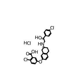 Cl.O=C(O)c1cc(Oc2ccc3c(c2)C[C@@H](NC[C@H](O)c2ccc(Cl)cc2)CC3)ccc1Cl